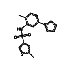 Cc1cc(S(=O)(=O)Nc2cc(-n3cccc3)ccc2C)cs1